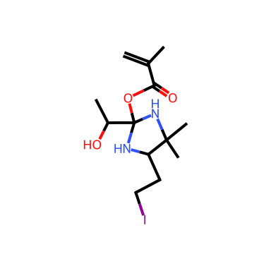 C=C(C)C(=O)OC1(C(C)O)NC(CCI)C(C)(C)N1